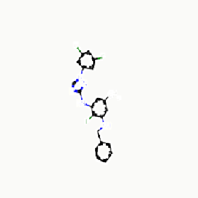 Cc1cc(NCc2ccccc2)c(F)c(Nc2ncn(-c3cc(F)cc(F)c3)n2)c1